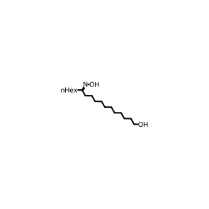 CCCCCCC(CCCCCCCCCCCO)=NO